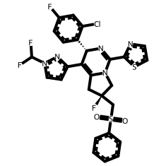 O=S(=O)(C[C@]1(F)CC2=C(c3ccn(C(F)F)n3)[C@H](c3ccc(F)cc3Cl)N=C(c3nccs3)N2C1)c1ccccc1